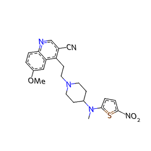 COc1ccc2ncc(C#N)c(CCN3CCC(N(C)c4ccc([N+](=O)[O-])s4)CC3)c2c1